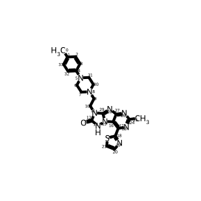 Cc1ccc(N2CCN(CCn3c(=O)[nH]n4c5c(-c6nccs6)nc(C)nc5nc34)CC2)cc1